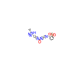 CS(=O)(=O)c1ccccc1CN1CC2(C1)CN(C(=O)N1CC3(CC(c4nnc(C5CC5)[nH]4)C3)C1)C2